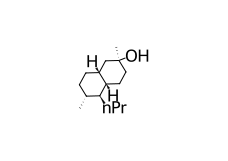 CCC[C@@H]1[C@H]2CC[C@](C)(O)C[C@H]2CC[C@H]1C